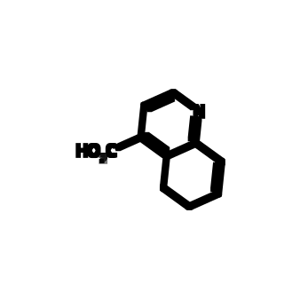 O=C(O)c1ccnc2c1CCC=C2